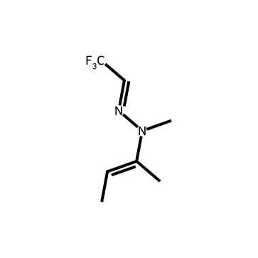 C/C=C(\C)N(C)/N=C/C(F)(F)F